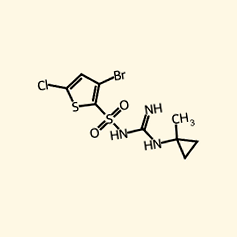 CC1(NC(=N)NS(=O)(=O)c2sc(Cl)cc2Br)CC1